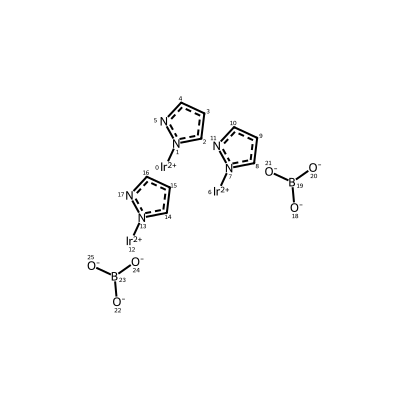 [Ir+2][n]1cccn1.[Ir+2][n]1cccn1.[Ir+2][n]1cccn1.[O-]B([O-])[O-].[O-]B([O-])[O-]